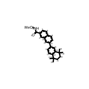 CONC(=O)c1ccc2ccc(-c3ccc4c(c3)C(C)(C)CCC4(C)C)cc2c1